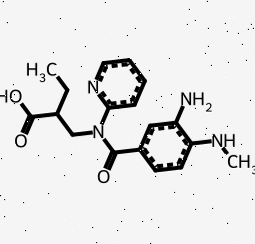 CCC(CN(C(=O)c1ccc(NC)c(N)c1)c1ccccn1)C(=O)O